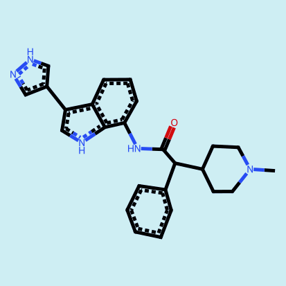 CN1CCC(C(C(=O)Nc2cccc3c(-c4cn[nH]c4)c[nH]c23)c2ccccc2)CC1